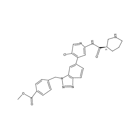 COC(=O)c1ccc(Cn2nnc3ccc(-c4cc(NC(=O)[C@@H]5CCCNC5)ncc4Cl)cc32)cc1